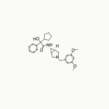 COc1cc(CN2CC3[C@H](C2)[C@H]3NC(=O)C(O)(c2ccccc2)C2CCCC2)cc(OC)c1